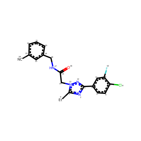 CCc1nc(-c2ccc(Cl)c(F)c2)nn1CC(=O)NCc1cccc(C#N)c1